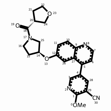 COc1ncc(-c2ccnc3ccc(O[C@H]4CCN(C(=O)[C@@H]5CCOC5)C4)cc23)cc1C#N